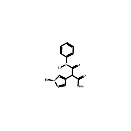 CCN(C(=O)C(C(=O)OC)c1cnn(CC)c1)c1ccccc1